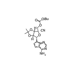 CC(C)COC(=O)OC[C@@]1(C#N)O[C@@H](c2ccc3c(N)ncnn23)[C@@H]2OC(C)(C)O[C@@H]21